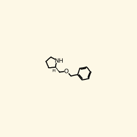 c1ccc(COC[C@H]2CCCN2)cc1